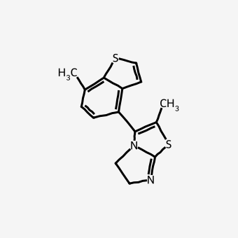 CC1=C(c2ccc(C)c3sccc23)N2CCN=C2S1